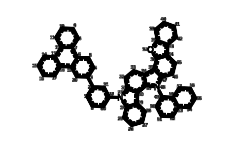 c1cc(-c2ccc3c4ccccc4c4ccccc4c3c2)cc(-n2c3ccccc3c3c2ccc2c4c5oc6ccccc6c5ccc4n(-c4cccc5ccccc45)c23)c1